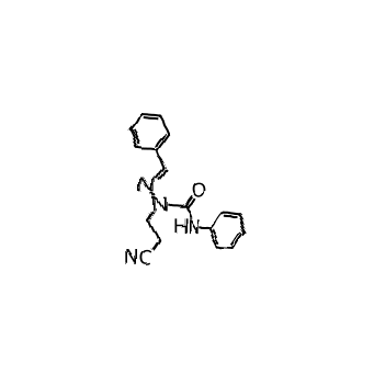 N#CCCN(N=Cc1ccccc1)C(=O)Nc1ccccc1